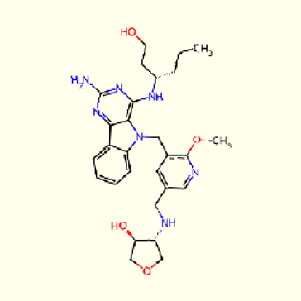 CCC[C@@H](CCO)Nc1nc(N)nc2c3ccccc3n(Cc3cc(CN[C@@H]4COC[C@H]4O)cnc3OC)c12